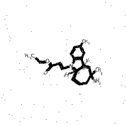 CCOC(=O)CCN1c2ccc(C)cc2[C@H]2CC(C)(N)CCC[C@@H]21